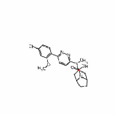 COc1cc(Cl)ccc1-c1ccc(N(C)C2CC3CCC(C2)N3C(=O)O)nn1